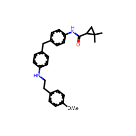 COc1ccc(CCNc2ccc(Cc3ccc(NC(=O)C4CC4(C)C)cc3)cc2)cc1